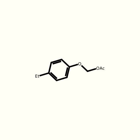 CCc1ccc(OCOC(C)=O)cc1